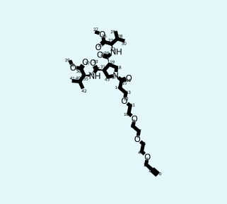 C#CCOCCOCCOCCOCCC(=O)N1C[C@@H](C(=O)N[C@H](C(=O)OC)C(C)C)[C@H](C(=O)N[C@H](C(=O)OC)C(C)C)C1